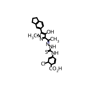 C/C(=N\NC(=S)NC1=CC(Cl)C(C(=O)O)C=C1)c1nn(C)c(-c2ccc3c(c2)CCC3)c1O